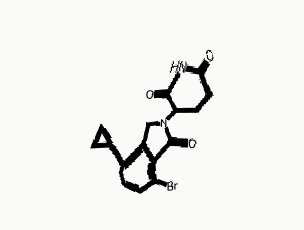 O=C1CCC(N2Cc3c(C4CC4)ccc(Br)c3C2=O)C(=O)N1